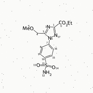 CCOC(=O)c1nc(COC)n(-c2ccc(S(N)(=O)=O)cc2)n1